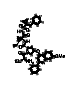 C=C[C@@H]1C[C@]1(NC(=O)[C@@H]1C[C@@H](Oc2cc(-c3ccccc3)nc3cc(OC)ccc23)CN1C(=O)[C@@H](N)C(C)(C)C)C(=O)NS(=O)(=O)C1(Cc2ccccc2)CC1